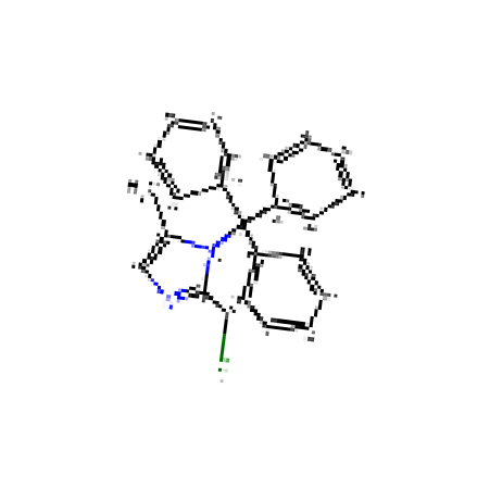 Cc1cnc(CCl)n1C(c1ccccc1)(c1ccccc1)c1ccccc1